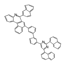 c1cc(-c2cccc(-c3cc4c(-c5ccc6ccccc6c5)nc5ccccc5c4c4ccccc34)c2)cc(-c2cc(-c3cccc4ccccc34)nc(-c3cccc4ccccc34)n2)c1